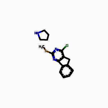 C1CCNC1.CSc1nc(Cl)c2c(n1)-c1ccccc1C2